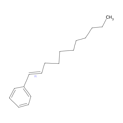 CCCCCCCCC/C=C/c1ccccc1